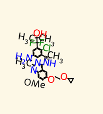 COc1cc2nc(C)nc(N[C@H](C)c3cc(N)cc(C(F)(F)C(C)(C)O)c3Cl)c2cc1OCCOC1CC1